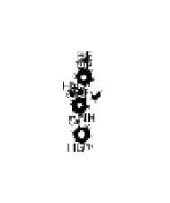 CCOc1cc(NC(=O)[C@H]2CC[C@](C)(O)CC2)ccc1S(=O)(=O)Nc1cccc(OC(F)(F)F)c1